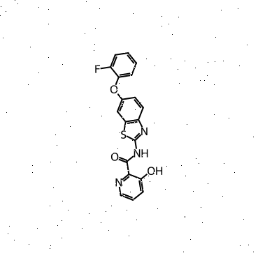 O=C(Nc1nc2ccc(Oc3ccccc3F)cc2s1)c1ncccc1O